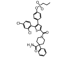 CCCS(=O)(=O)Oc1ccc(-c2cc(C(=O)N3CCC(C(N)=O)(c4ccccc4)CC3)sc2-c2ccc(Cl)cc2Cl)cc1